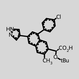 Cc1cc2cc(-c3cn[nH]c3)cc(-c3ccc(Cl)cc3)c2cc1[C@H](OC(C)(C)C)C(=O)O